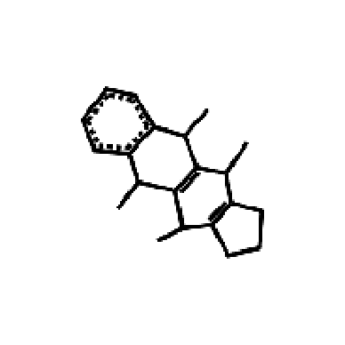 CC1C2=C(CCC2)C(C)C2=C1C(C)c1ccccc1C2C